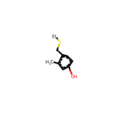 CCSCc1ccc(O)cc1C